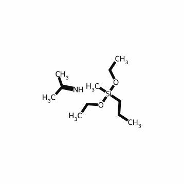 CC(C)=N.CCC[Si](C)(OCC)OCC